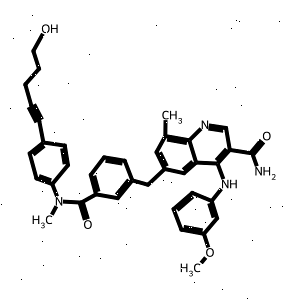 COc1cccc(Nc2c(C(N)=O)cnc3c(C)cc(Cc4cccc(C(=O)N(C)c5ccc(C#CCCCO)cc5)c4)cc23)c1